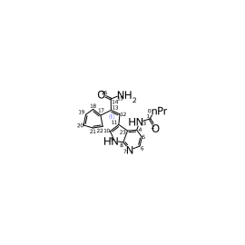 CCCC(=O)Nc1ccnc2[nH]cc(/C=C(/C(N)=O)c3ccccc3)c12